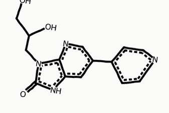 O=c1[nH]c2cc(-c3ccncc3)cnc2n1CC(O)CO